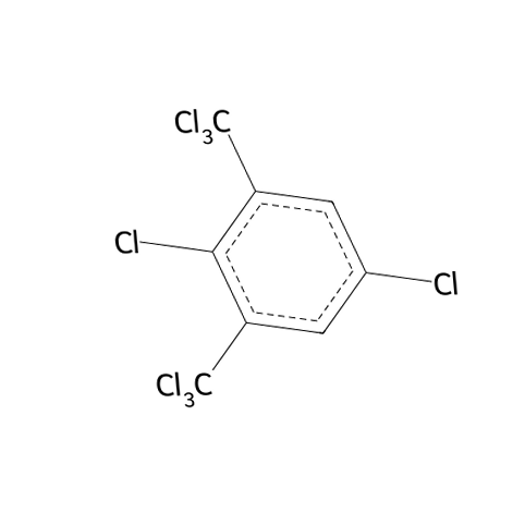 Clc1cc(C(Cl)(Cl)Cl)c(Cl)c(C(Cl)(Cl)Cl)c1